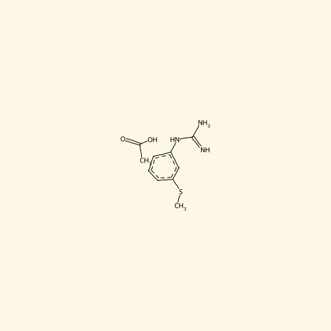 CC(=O)O.CSc1cccc(NC(=N)N)c1